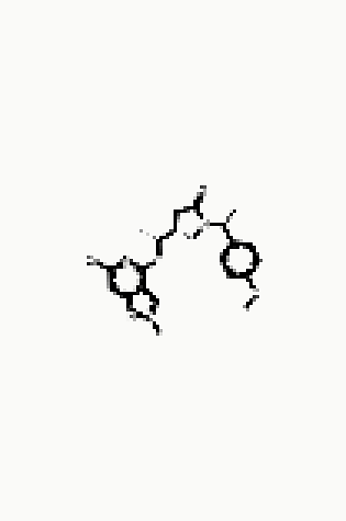 COc1ccc([C@H](C)N2C[C@H]([C@@H](C)Oc3nc(Cl)cc4nn(C)cc34)CC2=O)cc1